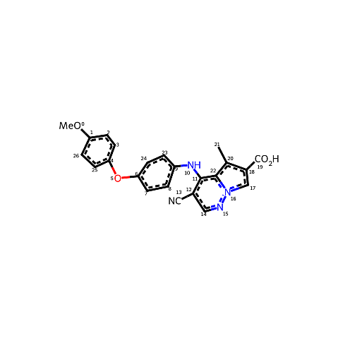 COc1ccc(Oc2ccc(Nc3c(C#N)cnn4cc(C(=O)O)c(C)c34)cc2)cc1